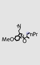 C=C(/C=C\CCC)C(=O)n1cc(CCN(C)C)c2cc(OC)ccc21